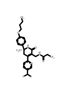 O=C(CC(F)(F)F)NCC1=C(c2ccc(C(F)F)cn2)C[C@](c2ccc(OCCCC(F)(F)F)cc2)(C(F)(F)F)NC1=O